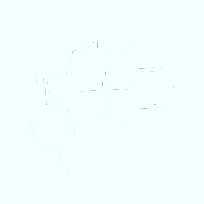 CCc1ccccc1P(=O)(OC)c1c(C(N)=O)[nH]c2ccc(Cl)cc12